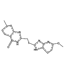 COc1ccc2[nH]c(SCc3nc4cc(C)ccc4c(=O)[nH]3)nc2n1